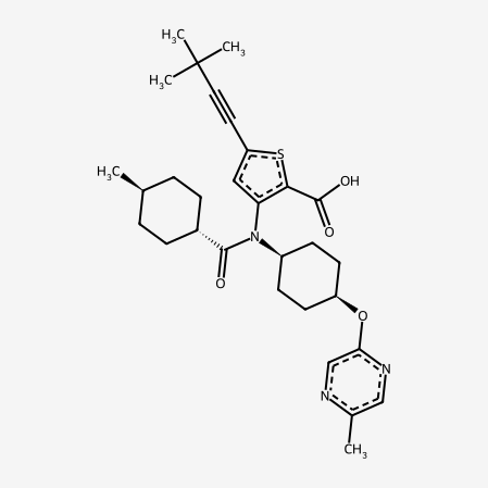 Cc1cnc(O[C@H]2CC[C@@H](N(c3cc(C#CC(C)(C)C)sc3C(=O)O)C(=O)[C@H]3CC[C@H](C)CC3)CC2)cn1